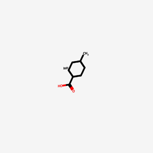 CC1CCC(C(=O)O)CC1.[InH3]